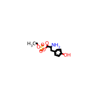 CCOS(=O)(=O)OC(=O)[C@@H](N)Cc1ccc(O)cc1